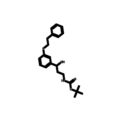 CC(C)(C)OC(=O)NCCC(O)c1cccc(SCCc2ccccc2)c1